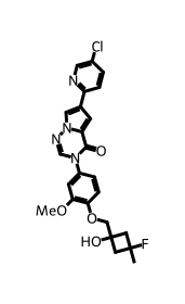 COc1cc(-n2cnn3cc(-c4ccc(Cl)cn4)cc3c2=O)ccc1OCC1(O)CC(C)(F)C1